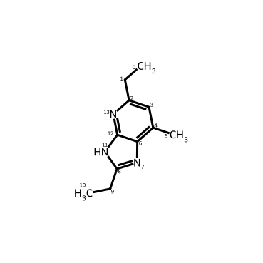 CCc1cc(C)c2nc(CC)[nH]c2n1